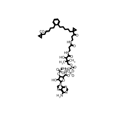 CC(C)(COP(=O)(O)OP(=O)(O)OCC1OC(n2cnc3c(N)ncnc32)C(O)C1OP(=O)(O)O)C(O)C(=O)NCCC(=O)NCCC(=O)C1(CCCCCc2ccccc2CCCCCC2(C(=O)O)CC2)CC1